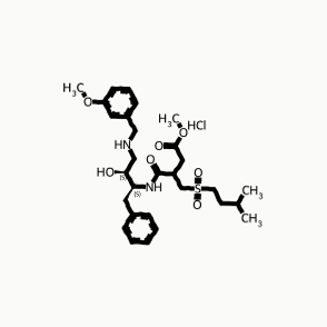 COC(=O)CC(CS(=O)(=O)CCC(C)C)C(=O)N[C@@H](Cc1ccccc1)[C@@H](O)CNCc1cccc(OC)c1.Cl